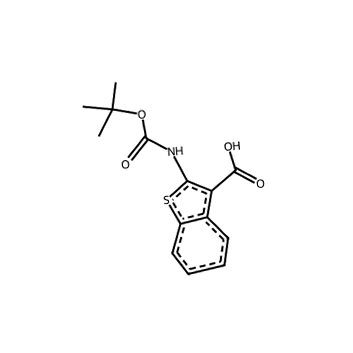 CC(C)(C)OC(=O)Nc1sc2ccccc2c1C(=O)O